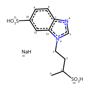 CC(CCn1cnc2ccc(S(=O)(=O)O)cc21)S(=O)(=O)O.[NaH]